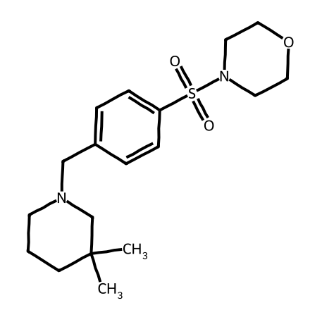 CC1(C)CCCN(Cc2ccc(S(=O)(=O)N3CCOCC3)cc2)C1